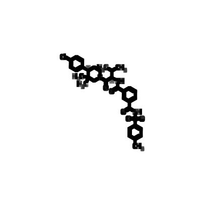 Cc1ccc(S(=O)(=O)NC(=O)c2cccc(C(=O)N[C@@H](C(=O)N3CC[C@H](c4ccc(Cl)cc4)C(C)(C)C3)C(C)C)c2)cc1